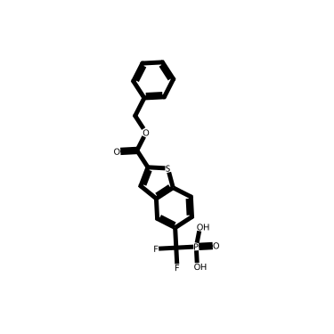 O=C(OCc1ccccc1)c1cc2cc(C(F)(F)P(=O)(O)O)ccc2s1